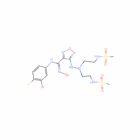 CS(=O)(=O)NCCN(CCNS(C)(=O)=O)Nc1nonc1C(=NO)Nc1ccc(F)c(Br)c1